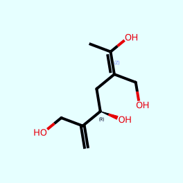 C=C(CO)[C@H](O)C/C(CO)=C(\C)O